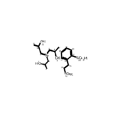 CC(O)CN(CC(C)O)CC(C)O.CCCCCCCCCCCCc1ccccc1S(=O)(=O)O